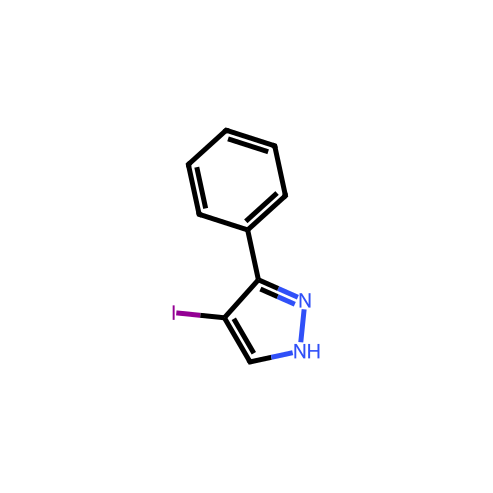 Ic1c[nH]nc1-c1ccccc1